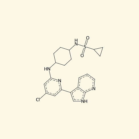 O=S(=O)(NC1CCC(Nc2cc(Cl)cc(-c3c[nH]c4ncccc34)n2)CC1)C1CC1